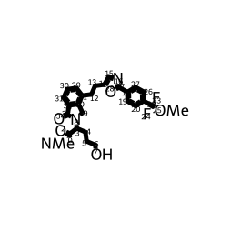 CNC(=O)C(CCCO)N1Cc2c(CCc3cnc(-c4ccc(C(F)(F)OC)cc4)o3)cccc2C1=O